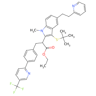 CCOC(=O)C(Cc1ccc(-c2ccc(C(F)(F)F)cn2)cc1)c1c(SC(C)(C)C)c2cc(CCc3ccccn3)ccc2n1C